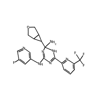 NC1(C2C3COCC32)N=C(Nc2cncc(F)c2)N=C(c2cccc(C(F)(F)F)n2)N1